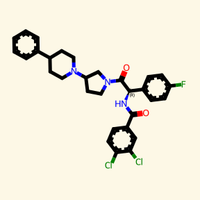 O=C(N[C@@H](C(=O)N1CCC(N2CCC(c3ccccc3)CC2)C1)c1ccc(F)cc1)c1ccc(Cl)c(Cl)c1